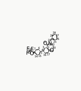 O=C1c2cc(-c3ccc(OC(F)(F)F)cc3)ccc2OCCN1Cc1ccccc1